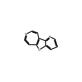 C1=Cc2oc3cccnc3c2C=CN=1